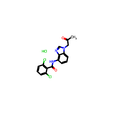 CC(=O)Cn1cnc2c(NC(=O)c3c(Cl)cccc3Cl)cccc21.Cl